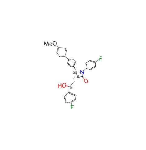 COc1ccc(-c2ccc([C@@H]3[C@@H](CC[C@H](O)c4ccc(F)cc4)C(=O)N3c3ccc(F)cc3)cc2)cc1